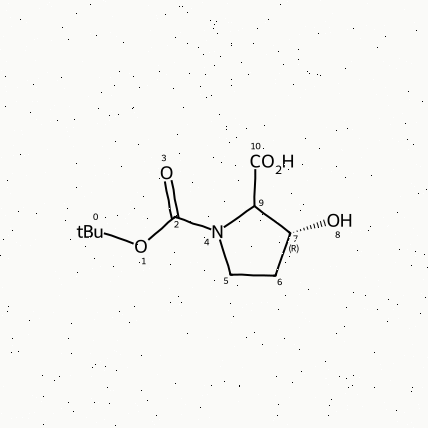 CC(C)(C)OC(=O)N1CC[C@@H](O)C1C(=O)O